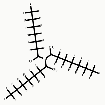 C[CH]([Sn]([CH](C)C(F)(F)C(F)(F)C(F)(F)C(F)(F)C(F)(F)C(F)(F)F)[CH](C)C(F)(F)C(F)(F)C(F)(F)C(F)(F)C(F)(F)C(F)(F)F)C(F)(F)C(F)(F)C(F)(F)C(F)(F)C(F)(F)C(F)(F)F